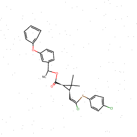 CC1(C)[C@H](C(=O)OC(C#N)c2cccc(Oc3ccccc3)c2)[C@@H]1/C=C(/Cl)Sc1ccc(Cl)cc1